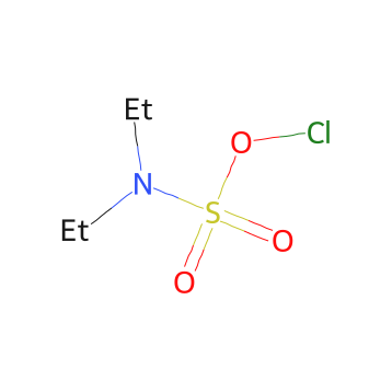 CCN(CC)S(=O)(=O)OCl